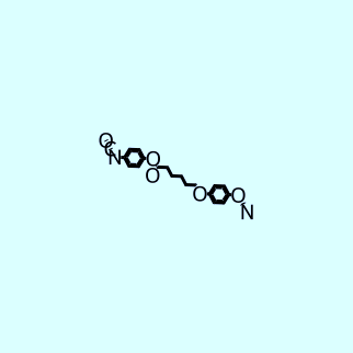 N#COc1ccc(OCCCCCC(=O)Oc2ccc(N=C=O)cc2)cc1